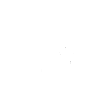 CCc1nnn(Cc2ccc3ccccc3c2)n1